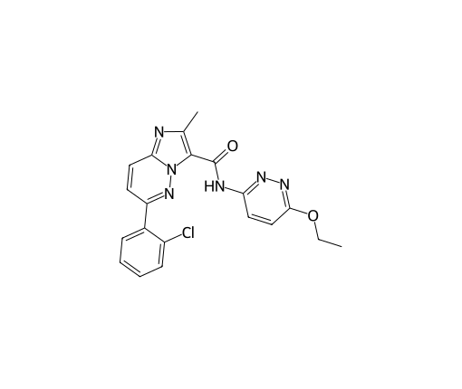 CCOc1ccc(NC(=O)c2c(C)nc3ccc(-c4ccccc4Cl)nn23)nn1